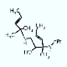 CC=CC(C)(C)NCC(O)C(C)(C=CC)NCCC